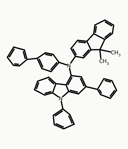 CC1(C)c2ccccc2-c2ccc(N(c3ccc(-c4ccccc4)cc3)c3cc(-c4ccccc4)cc4c3c3ccccc3n4-c3ccccc3)cc21